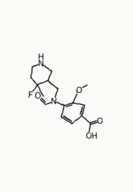 COc1cc(C(=O)O)ccc1N(C=O)CC1CNCCC1(C)F